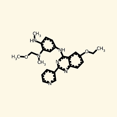 CCOc1ccc2nc(-c3cccnc3)nc(Nc3ccc(NC)c(N(C)COC)c3)c2c1